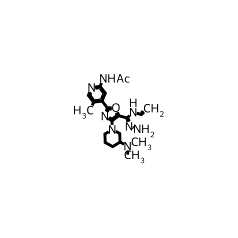 C=CN/C(=N\N)c1oc(-c2cc(NC(C)=O)ncc2C)nc1N1CCCC(N(C)C)C1